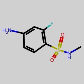 CNS(=O)(=O)c1ccc(N)cc1F